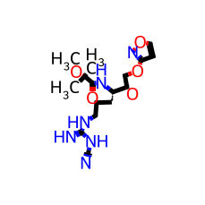 COC(C)(C)C(=O)N[C@@H](CCCNC(=N)NC#N)C(=O)COc1ccon1